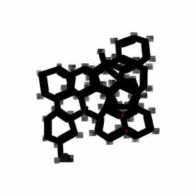 CC(C)(C)c1ccc(-c2ccccc2)c(N(c2ccccc2-c2cccc3cccc(-c4ccccc4)c23)c2cccc3c2-c2ccccc2C3(C)c2ccccc2)c1